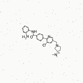 CN(C)[C@H]1CCN(Cc2cnc(-c3ccc(C(=O)Nc4ccccc4N)cc3)c(Cl)c2)C1